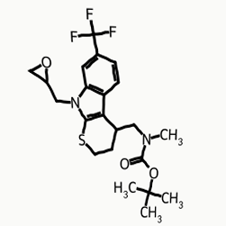 CN(CC1CCSc2c1c1ccc(C(F)(F)F)cc1n2CC1CO1)C(=O)OC(C)(C)C